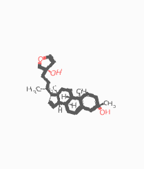 C[C@H](CC[C@]1(O)CCOC1)[C@H]1C=C[C@H]2[C@@H]3CC=C4C[C@@](C)(O)CC[C@]4(C)[C@H]3CC[C@]12C